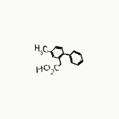 Cc1ccc(-c2ccccc2)c(CC(=O)O)c1